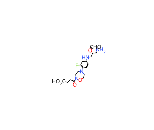 NC[C@@H](CNc1ccc(N2CCON(C(=O)CCC(=O)O)CC2)c(F)c1)OC=O